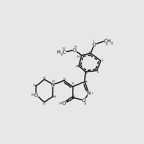 COc1ccc(C2=NOC(=O)C2=CN2CCOCC2)cc1OC